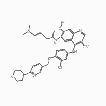 CCOc1cc2ncc(C#N)c(Nc3ccc(OCc4ccc(C5CCOCC5)nc4)c(Cl)c3)c2cc1NC(=O)CCCN(C)C